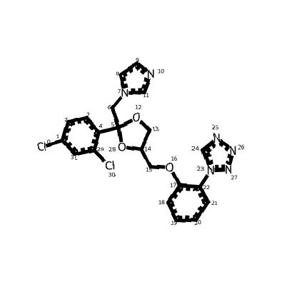 Clc1ccc(C2(Cn3ccnc3)OCC(COc3ccccc3-n3cnnn3)O2)c(Cl)c1